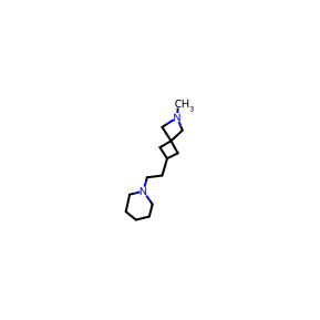 CN1CC2(CC(CCN3CCCCC3)C2)C1